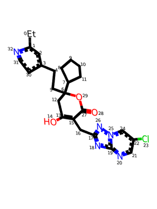 CCc1cc(CCC2(C3CCCC3)CC(O)=C(Cc3nc4ncc(Cl)cn4n3)C(=O)O2)ccn1